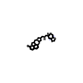 C=C(/C=C1/SCO/C1=C/N)CNCC1CCN(CC2Cn3c(=O)ccc4ccc(F)c2c43)C1